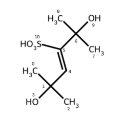 CC(C)(O)C=C(C(C)(C)O)S(=O)(=O)O